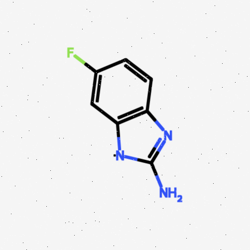 NC1=Nc2ccc(F)cc2[N]1